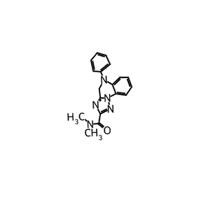 CN(C)C(=O)c1nc2n(n1)-c1ccccc1N(c1ccccc1)C2